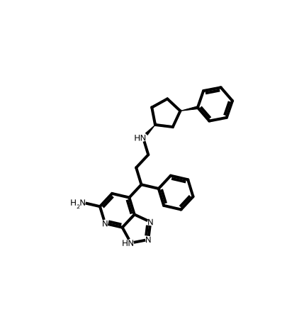 Nc1cc(C(CCN[C@H]2CC[C@@H](c3ccccc3)C2)c2ccccc2)c2nn[nH]c2n1